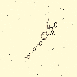 COCCOCCOc1ccc2c(c1)n(C)c(=O)n2C(C)C